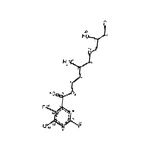 NC(CCOC(=O)c1nc(Cl)nc(Cl)c1Cl)COCC(O)CCl